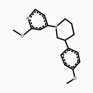 COc1ccc(C2CCCN(c3ccnc(OC)c3)C2)cc1